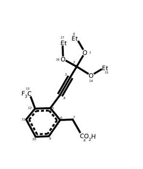 CCOC(C#Cc1c(CC(=O)O)cccc1C(F)(F)F)(OCC)OCC